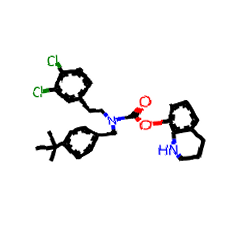 CC(C)(C)c1ccc(CN(CCc2ccc(Cl)c(Cl)c2)C(=O)Oc2cccc3c2NCCC3)cc1